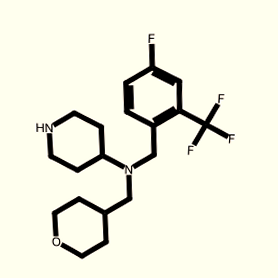 Fc1ccc(CN(CC2CCOCC2)C2CCNCC2)c(C(F)(F)F)c1